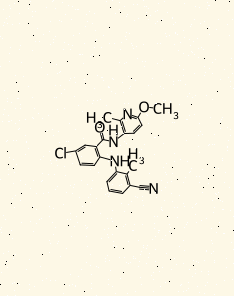 COc1ccc(NC(=O)c2cc(Cl)ccc2Nc2cccc(C#N)c2C)c(C)n1